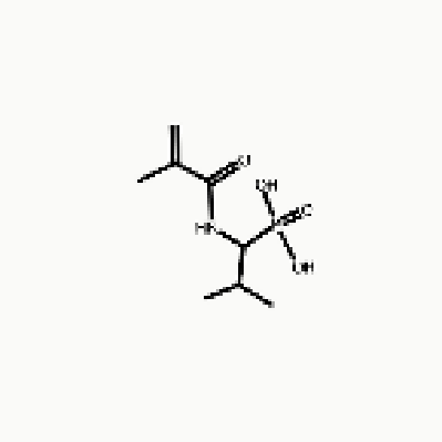 C=C(C)C(=O)NC(C(C)C)P(=O)(O)O